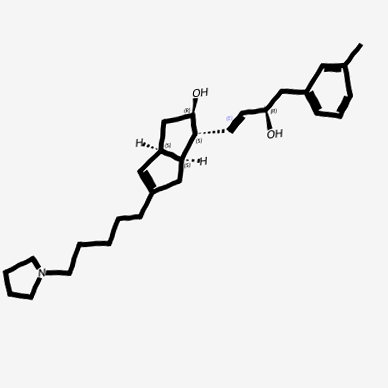 Cc1cccc(C[C@@H](O)/C=C/[C@@H]2[C@H]3CC(CCCCCN4CCCC4)=C[C@H]3C[C@H]2O)c1